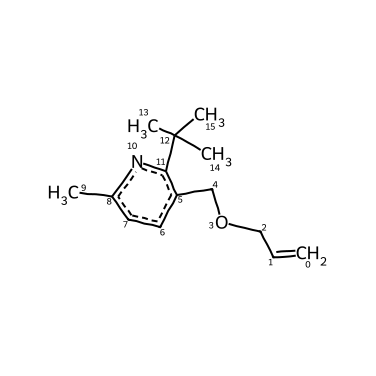 C=CCOCc1ccc(C)nc1C(C)(C)C